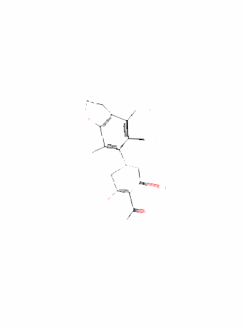 CCC(=O)C1=C(O)CC(c2c(C)c(C)c3c(c2C)OCC3)CC1=O